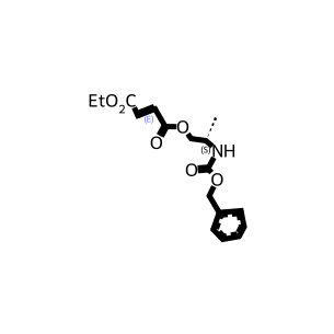 CCOC(=O)/C=C/C(=O)OC[C@H](C)NC(=O)OCc1ccccc1